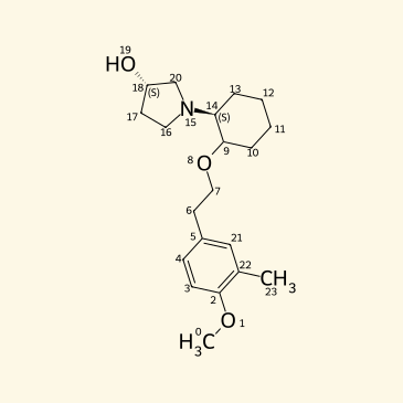 COc1ccc(CCOC2CCCC[C@@H]2N2CC[C@H](O)C2)cc1C